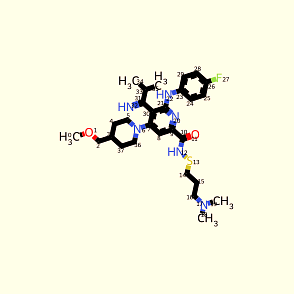 COCC1CCN(c2cc(C(=O)NSCCCN(C)C)nc(Nc3ccc(F)cc3)c2C(=N)C(C)C)CC1